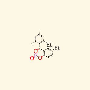 CCc1ccc(OP=O)c(C(=O)c2c(C)cc(C)cc2C)c1CC